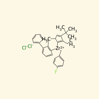 CCC1=[C](/[Zr+2](=[CH]/c2ccc(F)cc2)[c]2cccc3c2Cc2ccccc2-3)C(C)C=C1C(C)(C)C.[Cl-].[Cl-]